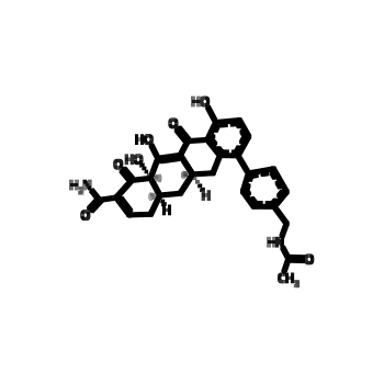 CC(=O)NCc1ccc(-c2ccc(O)c3c2C[C@H]2C[C@H]4CC=C(C(N)=O)C(=O)[C@@]4(O)C(O)=C2C3=O)cc1